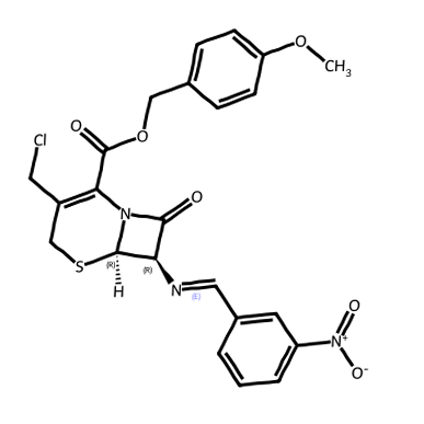 COc1ccc(COC(=O)C2=C(CCl)CS[C@@H]3[C@H](/N=C/c4cccc([N+](=O)[O-])c4)C(=O)N23)cc1